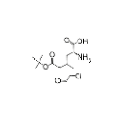 CC(CC(=O)OC(C)(C)C)C[C@H](N)C(=O)O.O=CCCl